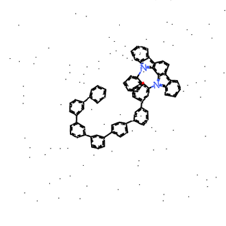 c1ccc(-c2cccc(-c3cccc(-c4cccc(-c5ccc(-c6cccc(-c7cccc(-n8c9ccccc9c9ccc%10c%11ccccc%11n(-c%11ccccc%11)c%10c98)c7)c6)cc5)c4)c3)c2)cc1